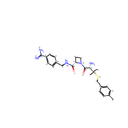 Cc1ccc(CSC(C)(C)[C@@H](N)C(=O)N2CC[C@H]2C(=O)NCc2ccc(C(=N)N)cc2)cc1